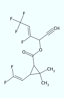 C#CC(OC(=O)C1C(C=C(F)F)C1(C)C)C(F)=CC(F)(F)F